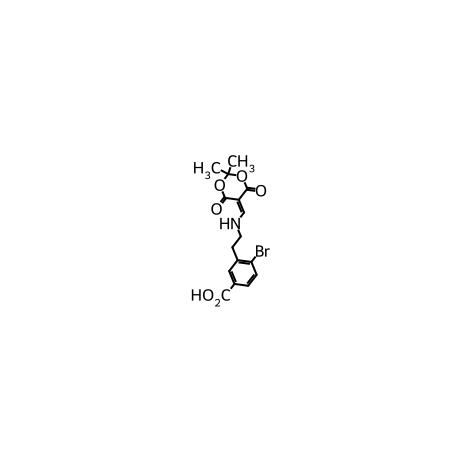 CC1(C)OC(=O)C(=CNCCc2cc(C(=O)O)ccc2Br)C(=O)O1